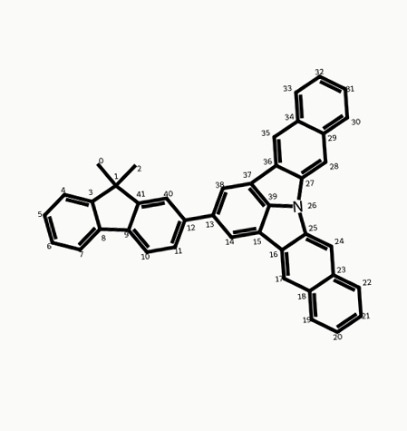 CC1(C)c2ccccc2-c2ccc(-c3cc4c5cc6ccccc6cc5n5c6cc7ccccc7cc6c(c3)c45)cc21